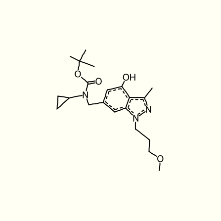 COCCCn1nc(C)c2c(O)cc(CN(C(=O)OC(C)(C)C)C3CC3)cc21